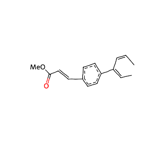 C/C=C\C(=C/C)c1ccc(/C=C/C(=O)OC)cc1